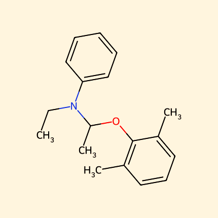 CCN(c1ccccc1)C(C)Oc1c(C)cccc1C